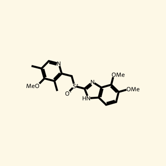 COc1ccc2[nH]c([S+]([O-])Cc3ncc(C)c(OC)c3C)nc2c1OC